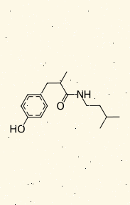 C[C](Cc1ccc(O)cc1)C(=O)NCCC(C)C